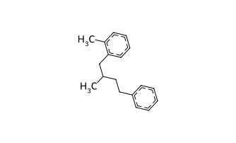 Cc1ccccc1CC(C)CCc1ccccc1